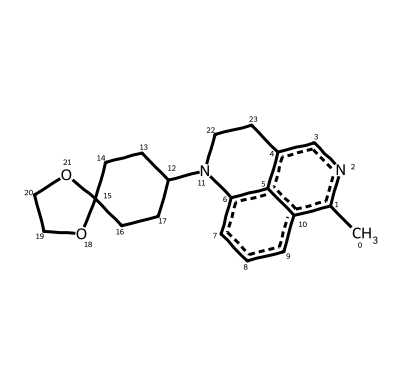 Cc1ncc2c3c(cccc13)N(C1CCC3(CC1)OCCO3)CC2